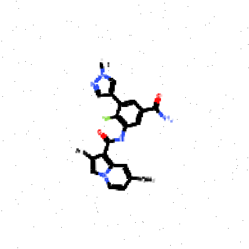 COc1ccn2cc(C(C)=O)c(C(=O)Nc3cc(C(N)=O)cc(-c4cnn(C)c4)c3F)c2c1